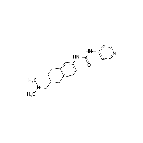 CN(C)CC1CCc2cc(NC(=O)Nc3ccncc3)ccc2C1